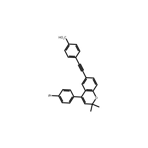 CC(C)c1ccc(C2=CC(C)(C)Oc3ccc(C#Cc4ccc(C(=O)O)cc4)cc32)cc1